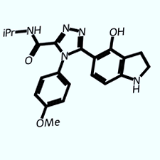 COc1ccc(-n2c(C(=O)NC(C)C)nnc2-c2ccc3c(c2O)CCN3)cc1